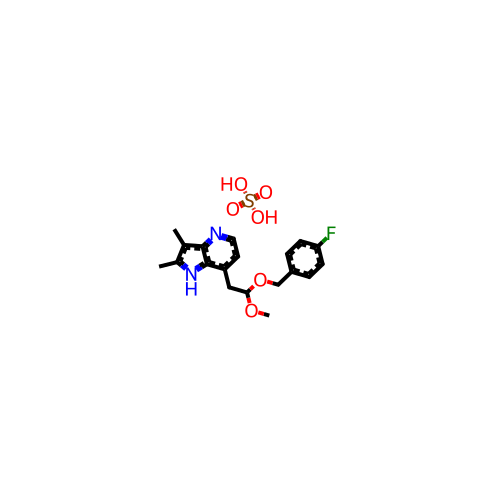 COC(Cc1ccnc2c(C)c(C)[nH]c12)OCc1ccc(F)cc1.O=S(=O)(O)O